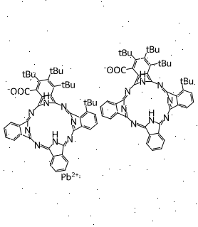 CC(C)(C)c1cccc2c1-c1nc-2nc2[nH]c(nc3nc(nc4[nH]c(n1)c1c(C(C)(C)C)c(C(C)(C)C)c(C(C)(C)C)c(C(=O)[O-])c41)-c1ccccc1-3)c1ccccc21.CC(C)(C)c1cccc2c1-c1nc-2nc2[nH]c(nc3nc(nc4[nH]c(n1)c1c(C(C)(C)C)c(C(C)(C)C)c(C(C)(C)C)c(C(=O)[O-])c41)-c1ccccc1-3)c1ccccc21.[Pb+2]